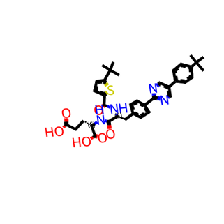 CC(C)(C)c1ccc(-c2cnc(-c3ccc(C[C@H](NC(=O)c4ccc(C(C)(C)C)s4)C(=O)N[C@@H](CCC(=O)O)C(=O)O)cc3)nc2)cc1